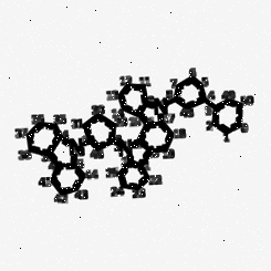 c1ccc(-c2cccc(-n3c4ccccc4c4c3ccc3c5ccccc5n(-c5cccc(-n6c7ccccc7c7ccccc76)c5)c34)c2)cc1